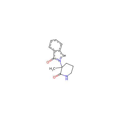 CC1(n2[se]c3ccccc3c2=O)CCCNC1=O